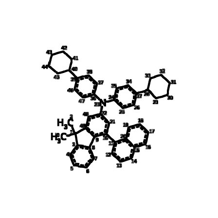 CC1(C)c2ccccc2-c2c(-c3cccc4ccccc34)cc(N(c3ccc(C4CCCCC4)cc3)c3ccc(C4CCCCC4)cc3)cc21